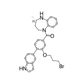 C[C@H]1CCN(C(=O)c2ccc(-c3ccc4[nH]ccc4c3)c(OCCCBr)c2)c2ccccc2N1